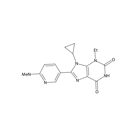 CCn1c(=O)[nH]c(=O)c2nc(-c3ccc(NC)nc3)n(C3CC3)c21